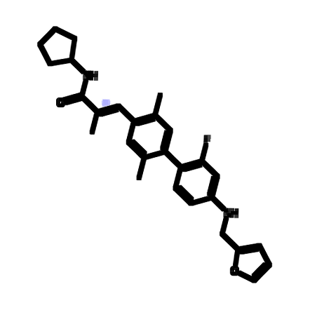 C/C(=C\c1cc(C)c(-c2ccc(NCc3ccco3)cc2F)cc1C)C(=O)NC1CCCC1